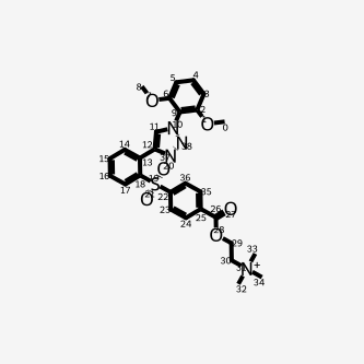 COc1cccc(OC)c1-n1cc(-c2ccccc2S(=O)(=O)c2ccc(C(=O)OCC[N+](C)(C)C)cc2)nn1